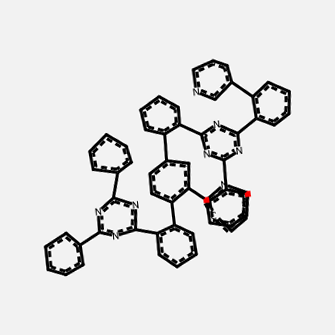 c1ccc(-c2nc(-c3ccccc3-c3cccnc3)nc(-c3ccccc3-c3ccc(-c4ccccc4-c4nc(-c5ccccc5)nc(-c5ccccc5)n4)c(-c4ccccn4)c3)n2)cc1